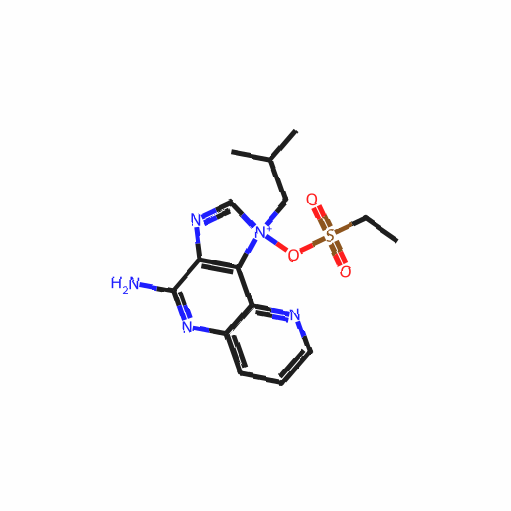 CCS(=O)(=O)O[N+]1(CC(C)C)C=Nc2c(N)nc3cccnc3c21